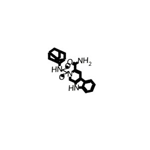 NC(=O)C1=Cc2c([nH]c3ccccc23)CN1S(=O)(=O)NC1C2CC3CC(C2)CC1C3